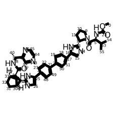 COC(=O)N[C@H](C(=O)N1CCC[C@H]1c1ncc(-c2ccc(-c3ccc(-c4cnc([C@@H]5[C@H]6CC[C@H](C6)[C@H]5C(=O)N[C@H](C)c5cnccn5)[nH]4)cc3)cc2)[nH]1)C(C)C